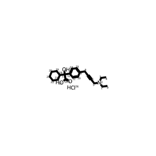 CCN(CC)CC#CCc1ccc(C(O)(C(=O)O)C2CCCCC2)cc1.Cl